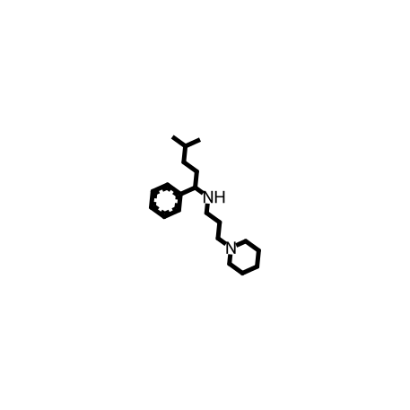 CC(C)CCC(NCCCN1CCCCC1)c1ccccc1